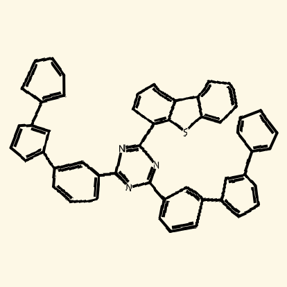 c1ccc(-c2cccc(-c3cccc(-c4nc(-c5cccc(-c6cccc(-c7ccccc7)c6)c5)nc(-c5cccc6c5sc5ccccc56)n4)c3)c2)cc1